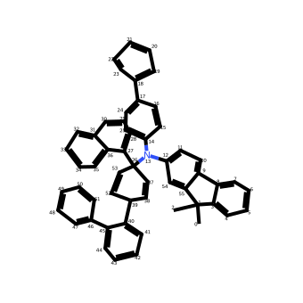 CC1(C)c2ccccc2-c2ccc(N(c3ccc(-c4ccccc4)cc3)C3(c4cccc5ccccc45)C=CC(c4ccccc4-c4ccccc4)C=C3)cc21